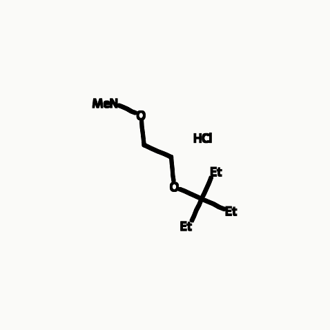 CCC(CC)(CC)OCCONC.Cl